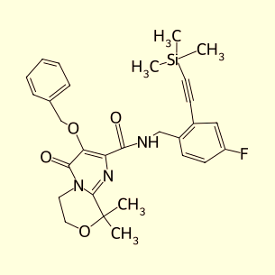 CC1(C)OCCn2c1nc(C(=O)NCc1ccc(F)cc1C#C[Si](C)(C)C)c(OCc1ccccc1)c2=O